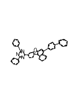 c1ccc(-c2ccc(-c3cc4oc5cc(-c6nc(-c7ccccc7)nc(-c7ccccc7)n6)ccc5c4c4ccccc34)cc2)cc1